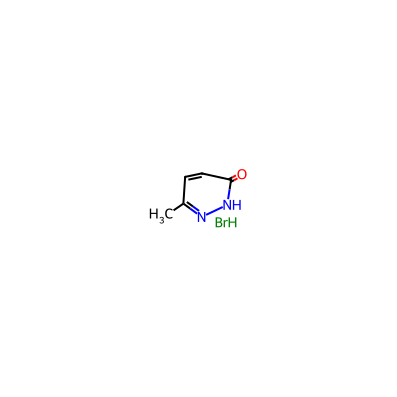 Br.Cc1ccc(=O)[nH]n1